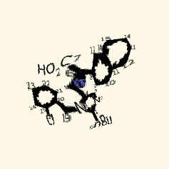 CCCCc1ncc(/C=C(/C(=O)O)c2ccc3ccccc3c2)n1Cc1ccccc1Cl